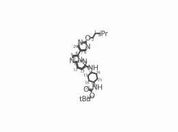 CC(C)CCOc1ncc(-c2cnc3ccc(N[C@H]4CC[C@H](NC(=O)OC(C)(C)C)CC4)nn23)cn1